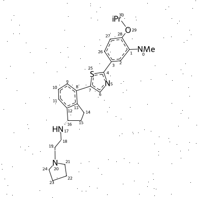 CNc1cc(-c2ncc(-c3cccc4c3CC[C@@H]4NCCN3CCCC3)s2)ccc1OC(C)C